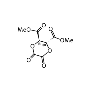 COC(=O)[C@@H]1OC(=O)C(=O)O[C@H]1C(=O)OC